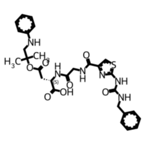 CC(C)(CNc1ccccc1)OC(=O)C[C@H](NC(=O)CNC(=O)c1csc(NC(=O)NCc2ccccc2)n1)C(=O)O